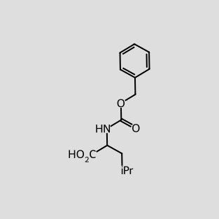 CC(C)CC(NC(=O)OCc1ccccc1)C(=O)O